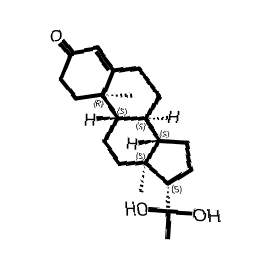 CC(O)(O)[C@H]1CC[C@H]2[C@@H]3CCC4=CC(=O)CC[C@]4(C)[C@H]3CC[C@]12C